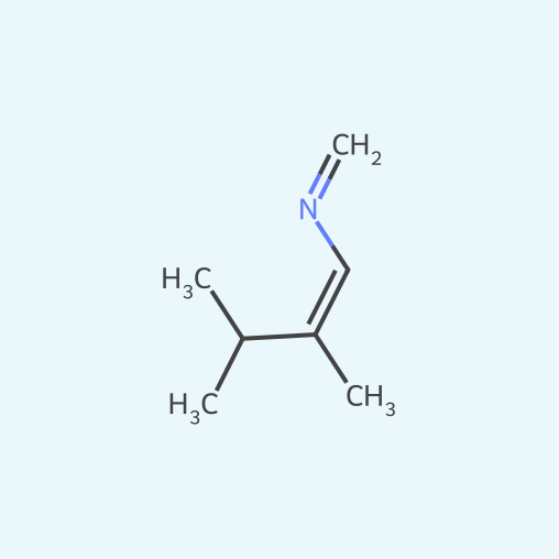 C=N/C=C(/C)C(C)C